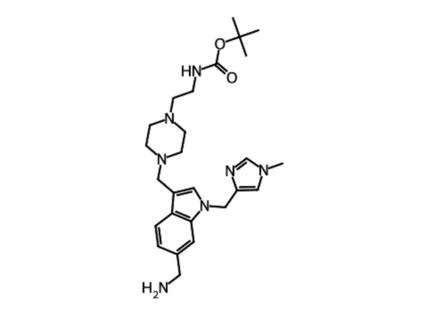 Cn1cnc(Cn2cc(CN3CCN(CCNC(=O)OC(C)(C)C)CC3)c3ccc(CN)cc32)c1